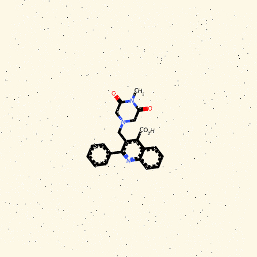 CN1C(=O)CN(Cc2c(-c3ccccc3)nc3ccccc3c2C(=O)O)CC1=O